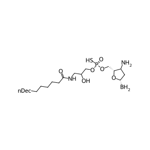 B[C@H]1CC(N)[C@@H](COP(=O)(S)OCC(O)CNC(=O)CCCCCCCCCCCCCCC)O1